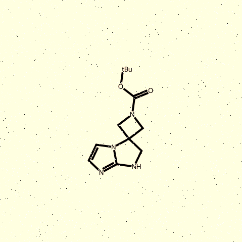 CC(C)(C)OC(=O)N1CC2(CNc3nccn32)C1